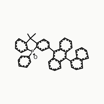 CC1(C)c2ccccc2P(=O)(c2ccccc2)c2cc(-c3c4ccccc4c(-c4cccc5ccccc45)c4ccccc34)ccc21